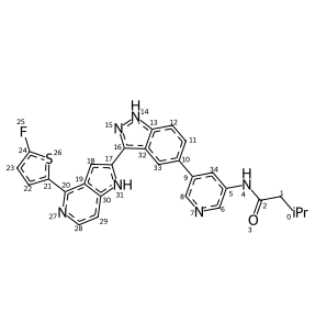 CC(C)CC(=O)Nc1cncc(-c2ccc3[nH]nc(-c4cc5c(-c6ccc(F)s6)nccc5[nH]4)c3c2)c1